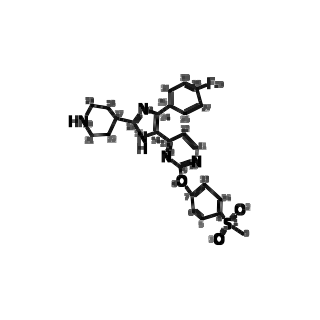 CS(=O)(=O)c1ccc(Oc2nccc(-c3[nH]c(C4CCNCC4)nc3-c3ccc(F)cc3)n2)cc1